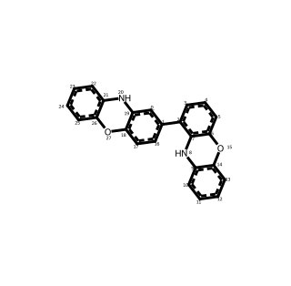 [c]1c(-c2cccc3c2Nc2ccccc2O3)ccc2c1Nc1ccccc1O2